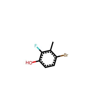 Cc1c(Br)ccc(O)c1F